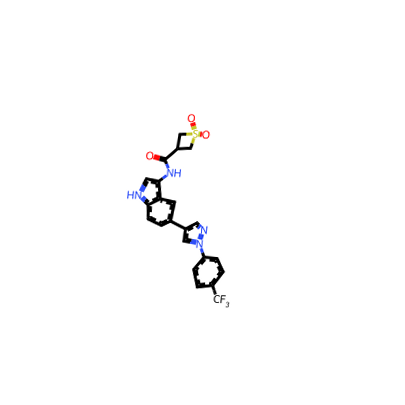 O=C(Nc1c[nH]c2ccc(-c3cnn(-c4ccc(C(F)(F)F)cc4)c3)cc12)C1CS(=O)(=O)C1